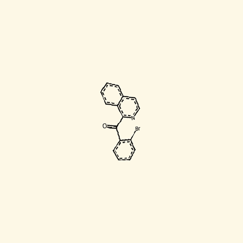 O=C(c1ccccc1Br)c1nccc2ccccc12